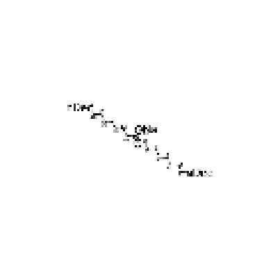 CCCCCCCCCCCCCCCCCCOC(=O)CCCCCCCCCCCCCCCCC.[Na]